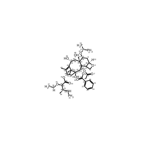 CC(=O)O[C@@]12CO[C@@H]1C[C@H](OP(P)P)[C@]1(C)[C@@H]2[C@H](OC(=O)c2ccccc2)[C@]2(O)C[C@H](OC(=O)[C@H](OPP)[C@H](C)NP)C(C)=C([C@H](O)[C@@H]1O)C2(C)C